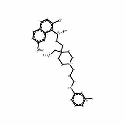 COc1ccc2ncc(Cl)c([C@H](F)CCC3(CC(=O)O)CCN(CCCSc4cccc(C)c4)CC3)c2c1